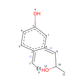 CC/C=c1/ccc(O)c/c1=C/C(C)O